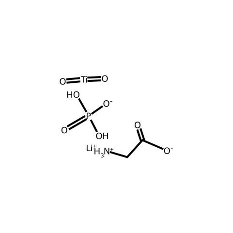 O=P([O-])(O)O.[Li+].[NH3+]CC(=O)[O-].[O]=[Ti]=[O]